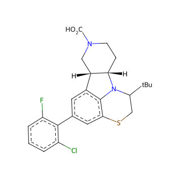 CC(C)(C)C1CSc2cc(-c3c(F)cccc3Cl)cc3c2N1[C@H]1CCN(C(=O)O)C[C@@H]31